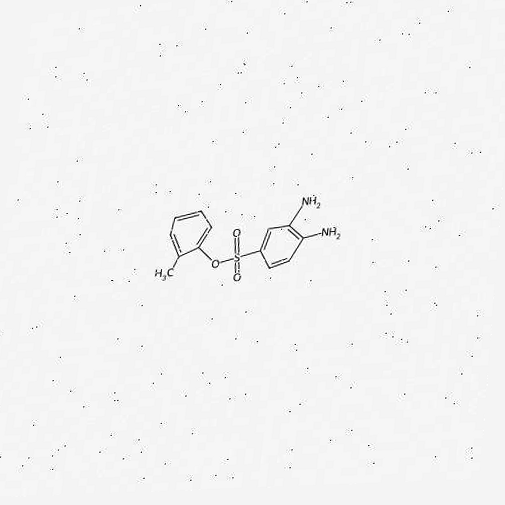 Cc1ccccc1OS(=O)(=O)c1ccc(N)c(N)c1